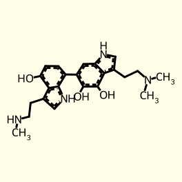 CNCCc1c[nH]c2c(-c3cc4[nH]cc(CCN(C)C)c4c(O)c3O)ccc(O)c12